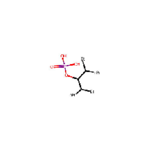 CCCC(CC)C(OP(=O)(O)O)C(CC)CCC